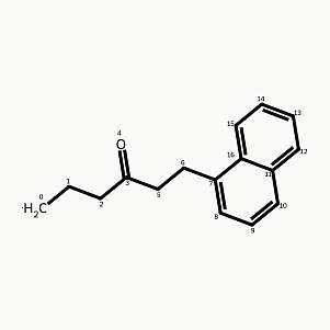 [CH2]CCC(=O)CCc1cccc2ccccc12